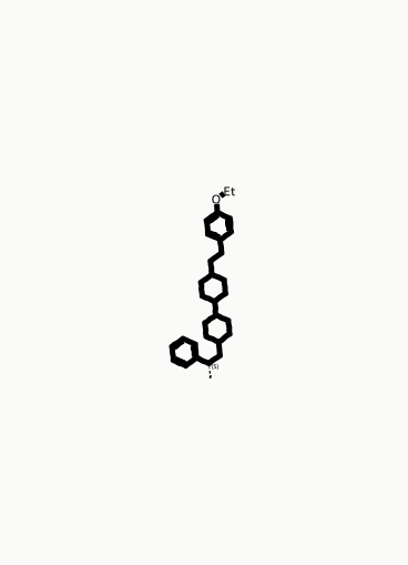 CCOc1ccc(CCC2CCC(C3CCC(C[C@H](C)c4ccccc4)CC3)CC2)cc1